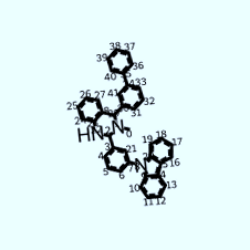 CN1C(c2cccc(-n3c4ccccc4c4ccccc43)c2)Nc2ccccc2C1c1cccc(-c2ccccc2)c1